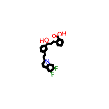 O=C(O)c1ccccc1CCC(O)c1cccc(C=Cc2ccc3cc(F)c(F)cc3n2)c1